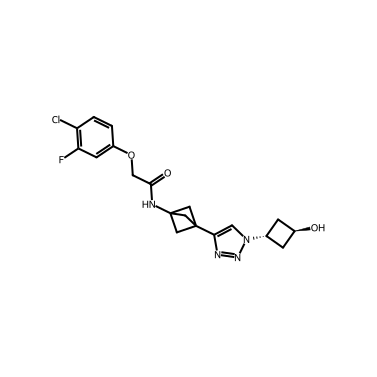 O=C(COc1ccc(Cl)c(F)c1)NC12CC(c3cn([C@H]4C[C@H](O)C4)nn3)(C1)C2